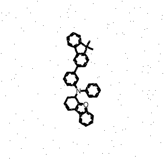 CC1(C)c2ccccc2-c2cc(-c3cccc(N(c4ccccc4)C4CC=Cc5c4oc4ccccc54)c3)ccc21